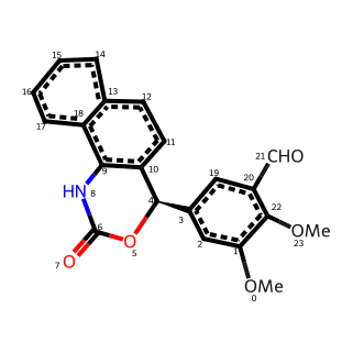 COc1cc([C@H]2OC(=O)Nc3c2ccc2ccccc32)cc(C=O)c1OC